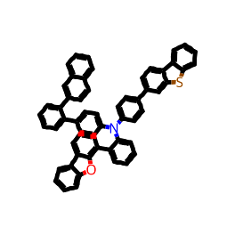 c1ccc(-c2ccc3ccccc3c2)c(-c2ccc(N(c3ccc(-c4ccc5c(c4)sc4ccccc45)cc3)c3ccccc3-c3cccc4c3oc3ccccc34)cc2)c1